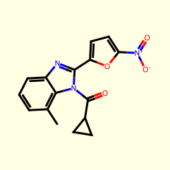 Cc1cccc2nc(-c3ccc([N+](=O)[O-])o3)n(C(=O)C3CC3)c12